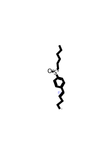 [CH2]CC/C=C/c1ccc([S+]([O-])CCCCCC)cc1